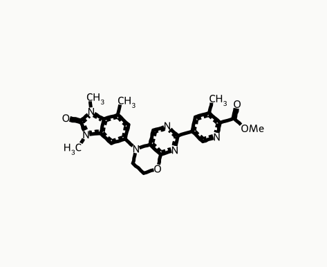 COC(=O)c1ncc(-c2ncc3c(n2)OCCN3c2cc(C)c3c(c2)n(C)c(=O)n3C)cc1C